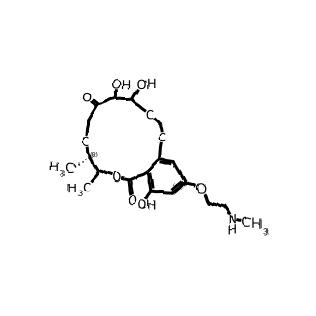 CNCCOc1cc(O)c2c(c1)CCCC(O)C(O)C(=O)CC[C@@H](C)C(C)OC2=O